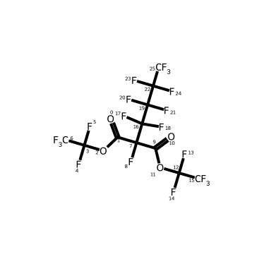 O=C(OC(F)(F)C(F)(F)F)C(F)(C(=O)OC(F)(F)C(F)(F)F)C(F)(F)C(F)(F)C(F)(F)C(F)(F)F